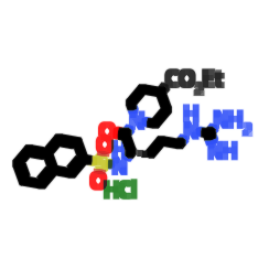 CCOC(=O)C1CCN(C(=O)[C@H](CCCNC(=N)N)NS(=O)(=O)c2ccc3ccccc3c2)CC1.Cl